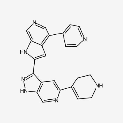 C1=C(c2cc3c(-c4cc5c(-c6ccncc6)cncc5[nH]4)n[nH]c3cn2)CCNC1